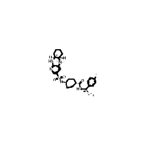 C[C@@H](NC(=O)[C@H]1CC[C@H](NS(=O)(=O)c2cnc3c(c2)N[C@H]2CCCC[C@@H]2N3)CC1)c1ccc(F)cc1